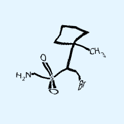 CC1(C(Br)S(N)(=O)=O)CCC1